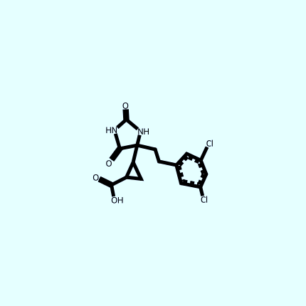 O=C1NC(=O)C(CCc2cc(Cl)cc(Cl)c2)(C2CC2C(=O)O)N1